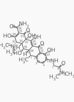 C[C@@H]1c2ccc(NCC(=O)N(C)C)c(O)c2C(=O)C2=C(O)[C@@]3(O)C(=O)C(C(N)=O)=C(O)[C@@H](N(C)C)[C@H]3[C@H](O)[C@H]21